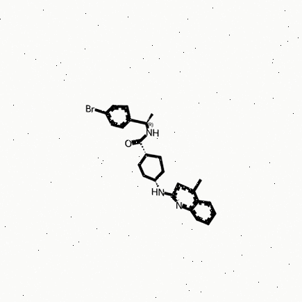 Cc1cc(N[C@H]2CC[C@@H](C(=O)N[C@H](C)c3ccc(Br)cc3)CC2)nc2ccccc12